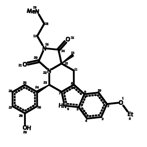 CCOc1ccc2[nH]c3c(c2c1)C[C@@]1(C)C(=O)N(CCNC)C(=O)N1[C@@H]3c1cccc(O)c1